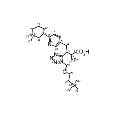 CCC[C@H](C(=O)O)[C@H](Cc1ccc(C2=CCC[N+](C)(C)C2)nc1)c1nnnn1COCC[Si](C)(C)C